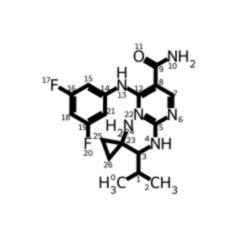 CC(C)C(Nc1ncc(C(N)=O)c(Nc2cc(F)cc(F)c2)n1)C1(N)CC1